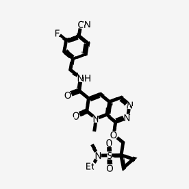 CCN(C)S(=O)(=O)C1(COc2nncc3cc(C(=O)NCc4ccc(C#N)c(F)c4)c(=O)n(C)c23)CC1